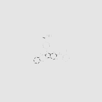 NC(=O)[C@H]1CC[C@@H](n2c(Nc3c(F)cc(F)cc3F)nc3cnc(N[C@H]4CCOC[C@H]4F)nc32)CC1